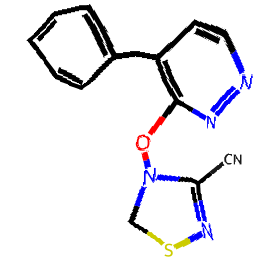 N#CC1=NSCN1Oc1nnccc1-c1ccccc1